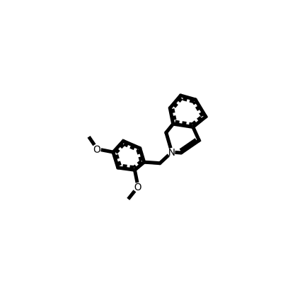 COc1ccc(CN2C=Cc3ccccc3C2)c(OC)c1